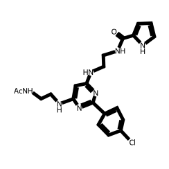 CC(=O)NCCNc1cc(NCCNC(=O)c2ccc[nH]2)nc(-c2ccc(Cl)cc2)n1